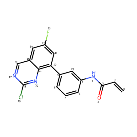 C=CC(=O)Nc1cccc(-c2cc(F)cc3cnc(Cl)nc23)c1